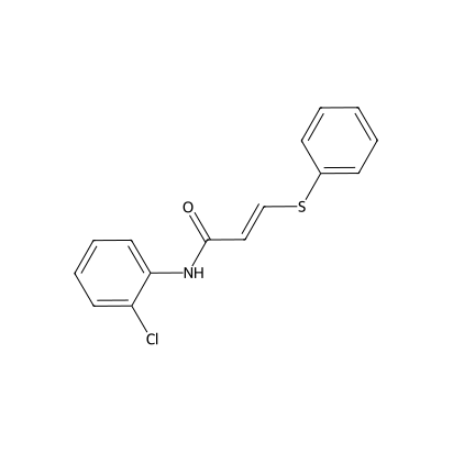 O=C(C=CSc1ccccc1)Nc1ccccc1Cl